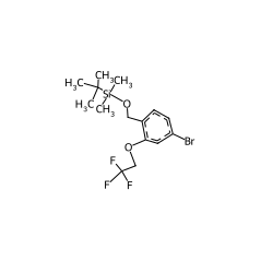 CC(C)(C)[Si](C)(C)OCc1ccc(Br)cc1OCC(F)(F)F